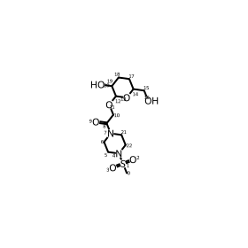 CS(=O)(=O)N1CCN(C(=O)COC2OC(CO)CCC2O)CC1